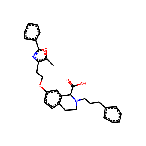 Cc1oc(-c2ccccc2)nc1CCOc1ccc2c(c1)C(C(=O)O)N(CCCc1ccccc1)CC2